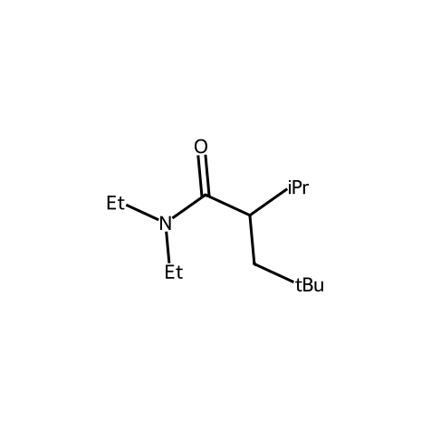 CCN(CC)C(=O)C(CC(C)(C)C)C(C)C